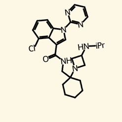 CC(C)NC1CN(C2(CNC(=O)c3cn(-c4ncccn4)c4cccc(Cl)c34)CCCCC2)C1